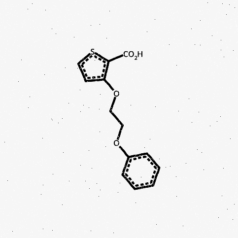 O=C(O)c1sccc1OCCOc1ccccc1